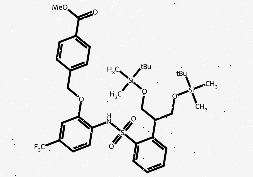 COC(=O)c1ccc(COc2cc(C(F)(F)F)ccc2NS(=O)(=O)c2ccccc2C(CO[Si](C)(C)C(C)(C)C)CO[Si](C)(C)C(C)(C)C)cc1